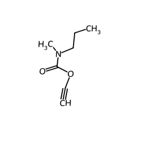 C#COC(=O)N(C)CCC